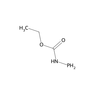 CCOC(=O)NP